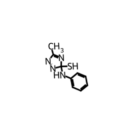 CC1=NC(S)(Nc2ccccc2)N=N1